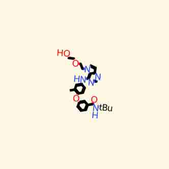 Cc1cc(Nc2ncnc3ccn(CCOCCO)c23)ccc1Oc1cccc(C(=O)NC(C)(C)C)c1